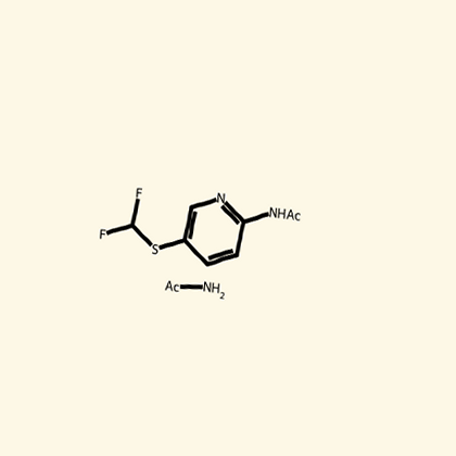 CC(=O)Nc1ccc(SC(F)F)cn1.CC(N)=O